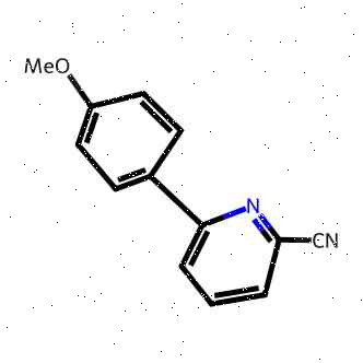 COc1ccc(-c2cccc(C#N)n2)cc1